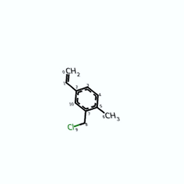 C=Cc1ccc(C)c(CCl)c1